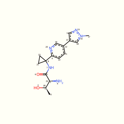 C[C@@H](O)[C@H](N)C(=O)NC1(c2ccc(-c3cnn(C)c3)cn2)CC1